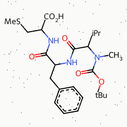 CSCC(NC(=O)C(Cc1ccccc1)NC(=O)C(C(C)C)N(C)C(=O)OC(C)(C)C)C(=O)O